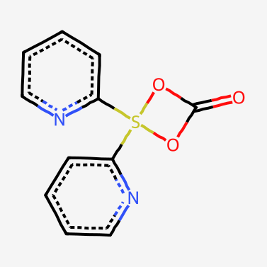 O=C1OS(c2ccccn2)(c2ccccn2)O1